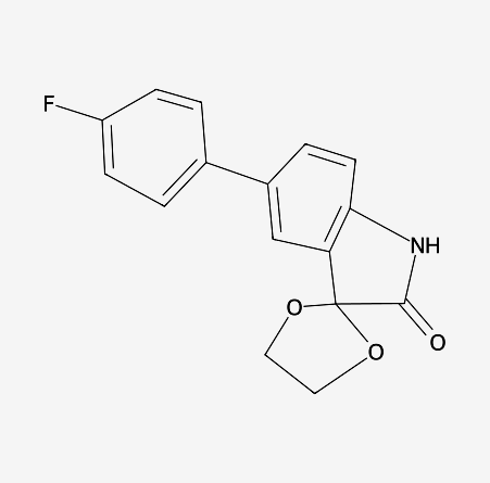 O=C1Nc2ccc(-c3ccc(F)cc3)cc2C12OCCO2